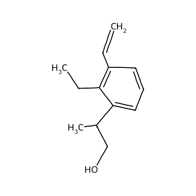 C=Cc1cccc([C](C)CO)c1CC